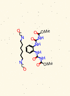 COC(=O)NC(=O)Nc1ccccc1NC(=O)NC(=O)OC.O=C=NCCCCCCN=C=O